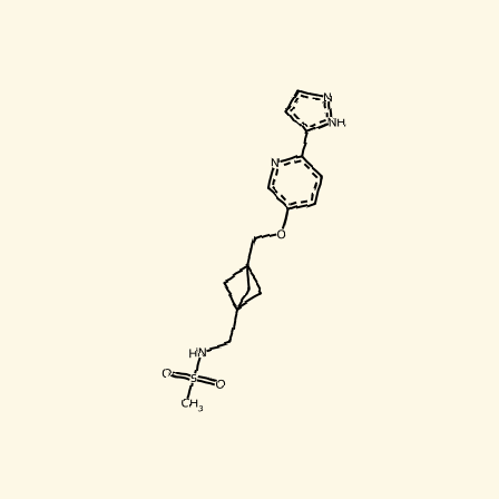 CS(=O)(=O)NCC12CC(COc3ccc(-c4ccn[nH]4)nc3)(C1)C2